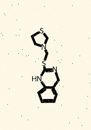 c1ccc2c(c1)CN=C(SCN1CCSC1)N2